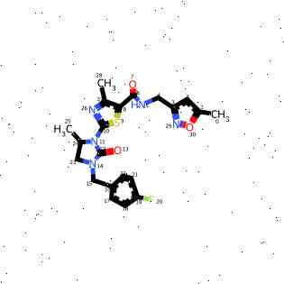 Cc1cc(CNC(=O)c2sc(N3C(=O)N(Cc4ccc(F)cc4)CC3C)nc2C)no1